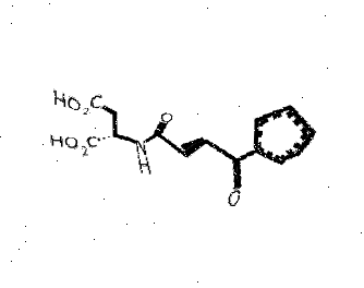 O=C(O)C[C@H](NC(=O)/C=C/C(=O)c1ccccc1)C(=O)O